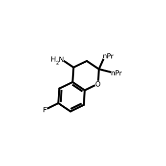 CCCC1(CCC)CC(N)c2cc(F)ccc2O1